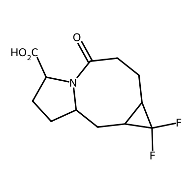 O=C(O)C1CCC2CC3C(CCC(=O)N21)C3(F)F